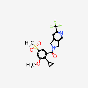 COc1cc(S(C)(=O)=O)cc(C(=O)N2Cc3cnc(C(F)(F)F)cc3C2)c1C1CC1